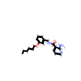 CCCC=CCOc1cccc(CNC(=O)c2cccnc2N)c1